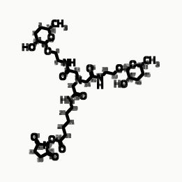 C[C@@H]1CC[C@H](O)[C@H](OCCNC(=O)CN(CC(=O)NCCCCCC(=O)ON2C(=O)CCC2=O)CC(=O)NCCO[C@@H]2O[C@@H](C)CC[C@@H]2O)O1